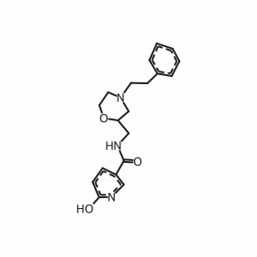 O=C(NCC1CN(CCc2ccccc2)CCO1)c1ccc(O)nc1